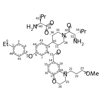 CCc1ccc(Oc2ccc(C3[C@@H](OCc4ccc5c(c4)N(CCCOC)CCO5)CN(C(=O)[C@@H](N)C(C)C)C[C@H]3OC(=O)[C@@H](N)C(C)C)cc2)cc1